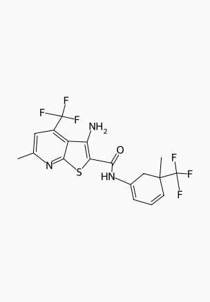 Cc1cc(C(F)(F)F)c2c(N)c(C(=O)NC3=CC=CC(C)(C(F)(F)F)C3)sc2n1